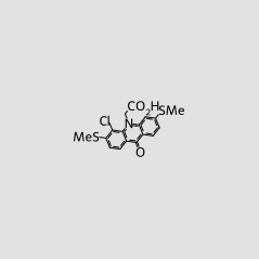 CSc1ccc2c(=O)c3ccc(SC)c(Cl)c3n(CC(=O)O)c2c1